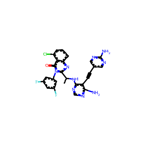 CC(Nc1ncnc(N)c1C#Cc1cnc(N)nc1)c1nc2cccc(Cl)c2c(=O)n1-c1cc(F)cc(F)c1